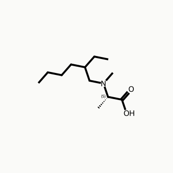 CCCCC(CC)CN(C)[C@@H](C)C(=O)O